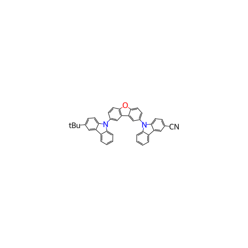 CC(C)(C)c1ccc2c(c1)c1ccccc1n2-c1ccc2oc3ccc(-n4c5ccccc5c5cc(C#N)ccc54)cc3c2c1